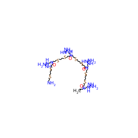 C=CCN(CCNC(=N)N)C(=O)CCSCCCCSCCCN(CCNC(=N)N)C(=O)CCSCCCCSCCCN(CCNC(=N)N)C(=O)CCSCCCCSCCCN(CCNC(=N)N)C(=O)CCSCCCCSCCCN